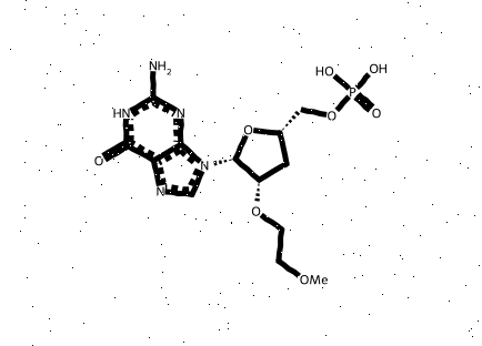 COCCO[C@H]1C[C@@H](COP(=O)(O)O)O[C@H]1n1cnc2c(=O)[nH]c(N)nc21